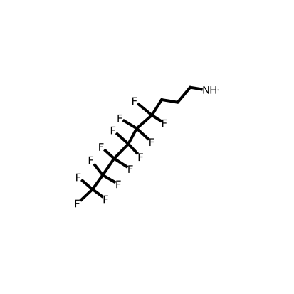 [NH]CCCC(F)(F)C(F)(F)C(F)(F)C(F)(F)C(F)(F)C(F)(F)F